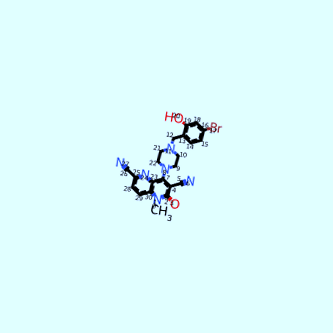 Cn1c(=O)c(C#N)c(N2CCN(Cc3ccc(Br)cc3O)CC2)c2nc(C#N)ccc21